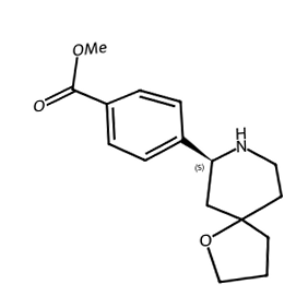 COC(=O)c1ccc([C@@H]2CC3(CCCO3)CCN2)cc1